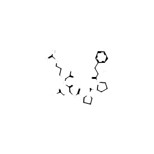 N=C(N)NCCC[C@H](NC(=O)[C@H](CC(=O)O)NC(=O)[C@@H]1CCCN1C(=O)[C@@H]1CCCN1C(=O)[C@@H](N)Cc1ccccc1)C(=O)O